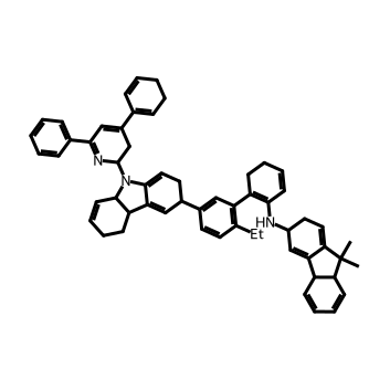 CCc1ccc(C2C=C3C(=CC2)N(C2CC(C4=CCCC=C4)=CC(c4ccccc4)=N2)C2C=CCCC32)cc1C1=C(NC2C=C3C(=CC2)C(C)(C)C2C=CC=CC32)C=CCC1